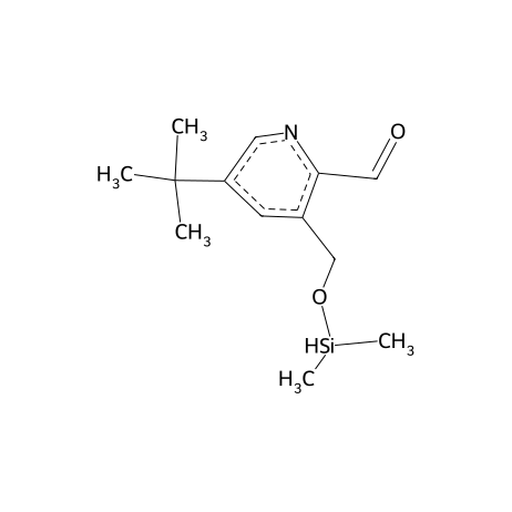 C[SiH](C)OCc1cc(C(C)(C)C)cnc1C=O